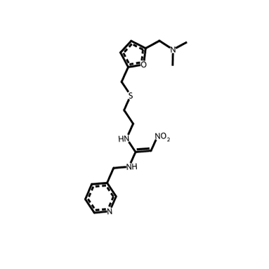 CN(C)Cc1ccc(CSCCNC(=C[N+](=O)[O-])NCc2cccnc2)o1